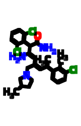 C=C(/C=C(\C=C(/N)C(C(N)=O)c1c(Cl)cccc1Cl)CN1CCC(C)C1)c1cccc(Cl)c1C